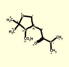 CN(C)C(=O)C[C@@H]1COC(C)(C)N1C(=O)O